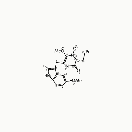 COc1ccc2[nH]c(C)c(Cc3[nH]c(=O)c(CC(C)C)[n+]([O-])c3OC)c2c1